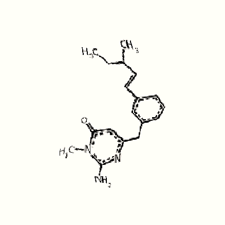 CCC(C)/C=C/c1cccc(Cc2cc(=O)n(C)c(N)n2)c1